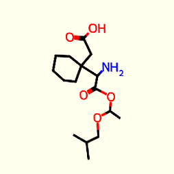 CC(C)COC(C)OC(=O)C(N)C1(CC(=O)O)CCCCC1